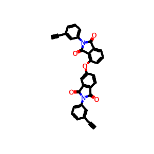 C#Cc1cccc(N2C(=O)c3ccc(Oc4cccc5c4C(=O)N(c4cccc(C#C)c4)C5=O)cc3C2=O)c1